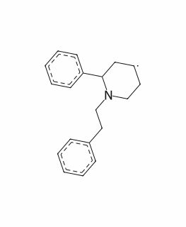 [CH]1CCN(CCc2ccccc2)C(c2ccccc2)C1